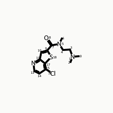 CN(C)CCN(C)C(=O)c1cc2nccc(Cl)c2s1